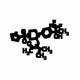 CC(=O)N(C[C@H]1CN(S(=O)(=O)c2cccs2)CCN1c1ccc(C(C)(O)C(F)(F)F)cc1)C(C)C